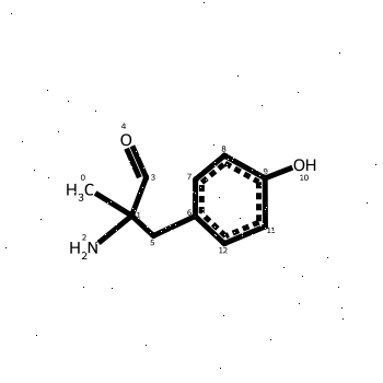 CC(N)([C]=O)Cc1ccc(O)cc1